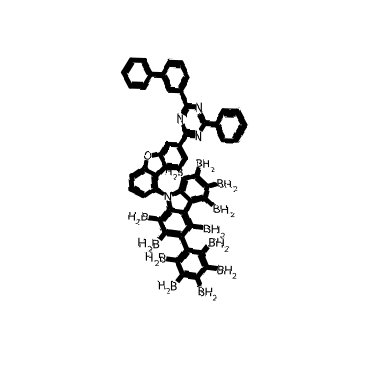 Bc1c(B)c(B)c(-c2c(B)c(B)c3c(c2B)c2c(B)c(B)c(B)c(B)c2n3-c2cccc3oc4cc(-c5nc(-c6ccccc6)nc(-c6cccc(-c7ccccc7)c6)n5)ccc4c23)c(B)c1B